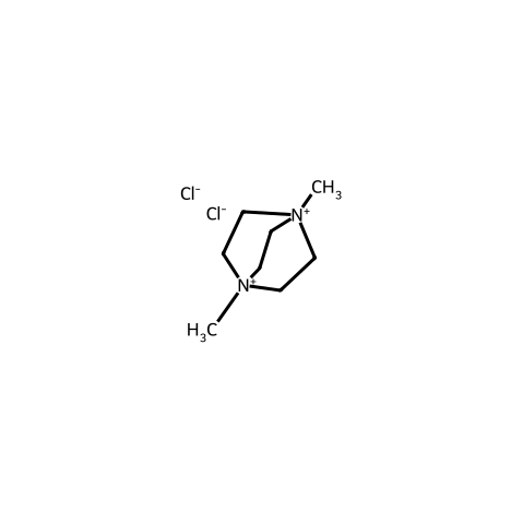 C[N+]12CC[N+](C)(CC1)CC2.[Cl-].[Cl-]